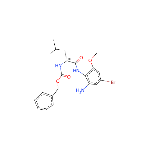 COc1cc(Br)cc(N)c1NC(=O)[C@@H](CC(C)C)NC(=O)OCc1ccccc1